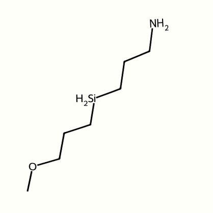 COCCC[SiH2]CCCN